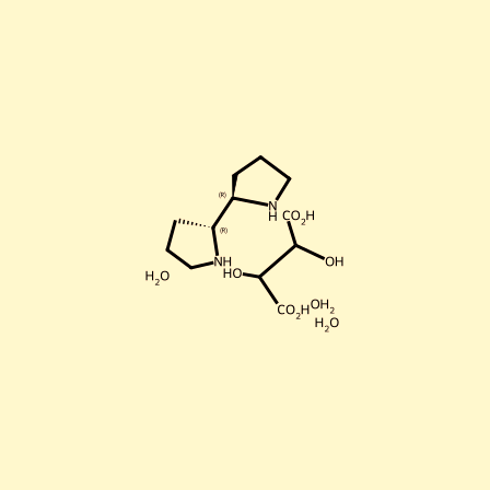 C1CN[C@@H]([C@H]2CCCN2)C1.O.O.O.O=C(O)C(O)C(O)C(=O)O